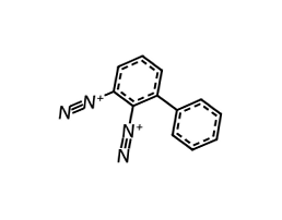 N#[N+]c1cccc(-c2ccccc2)c1[N+]#N